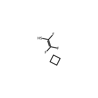 C1CCC1.FC(F)=C(F)S